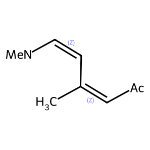 CN/C=C\C(C)=C/C(C)=O